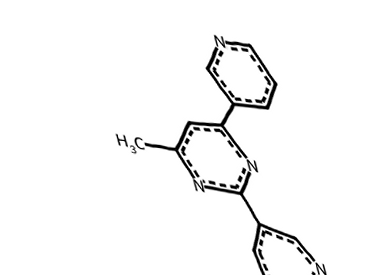 Cc1cc(-c2cccnc2)nc(-c2cccnc2)n1